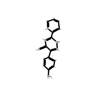 Nc1ccc(-c2n[nH]c(-c3ccccn3)nc2=O)cc1